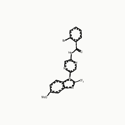 COc1ccc2c(c1)nc(C(F)(F)F)n2-c1cnc(NC(=O)c2ccccc2Br)cn1